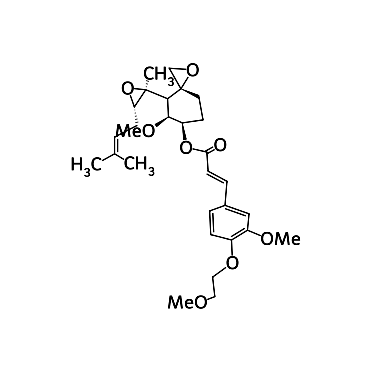 COCCOc1ccc(/C=C/C(=O)O[C@@H]2CC[C@]3(CO3)C([C@]3(C)O[C@H]3CC=C(C)C)[C@@H]2OC)cc1OC